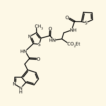 CCOC(=O)C(CNC(=O)c1cccs1)NC(=O)c1sc(NC(=O)Cc2cccc3[nH]ncc23)nc1C